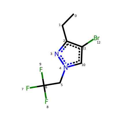 CCc1nn(CC(F)(F)F)cc1Br